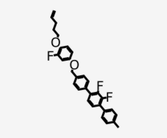 C=CCCCOc1ccc(OCc2ccc(-c3ccc(-c4ccc(C)cc4)c(F)c3F)cc2)cc1F